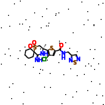 C[C@@]1(c2sc(C(=O)NCc3cnsn3)cc2Cl)CS(=O)(=O)C2(CCCCC2)C(=N)N1